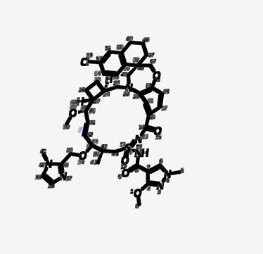 COc1nn(C)cc1C(=O)N[S@@]1(=O)=NC(=O)c2ccc3c(c2)N(C[C@@H]2CC[C@H]2[C@@H](OC)/C=C/[C@H](OCc2nccn2C)[C@H](C)C1)C[C@@]1(CCCc2cc(Cl)ccc21)CO3